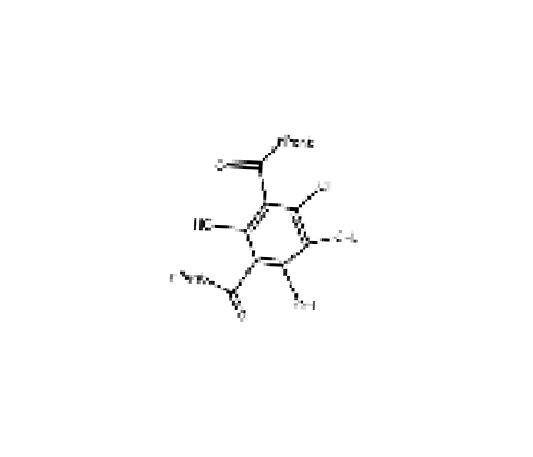 CCCCCC(=O)c1c(O)c(C)c(O)c(C(=O)CCCCC)c1O